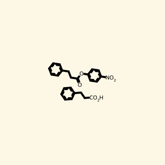 O=C(CCc1ccccc1)Oc1ccc([N+](=O)[O-])cc1.O=C(O)CCc1ccccc1